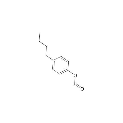 CCCCc1ccc(OC=O)cc1